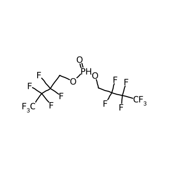 O=[PH](OCC(F)(F)C(F)(F)C(F)(F)F)OCC(F)(F)C(F)(F)C(F)(F)F